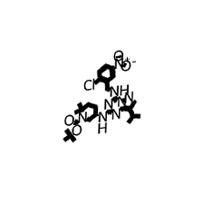 CC(C)c1cnn2c(NCc3cc([N+](=O)[O-])ccc3Cl)nc(N[C@H]3CCC(C)(C)N(C(=O)OC(C)(C)C)C3)nc12